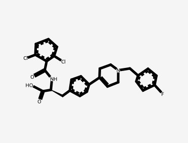 O=C(N[C@@H](Cc1ccc(C2=CCN(Cc3ccc(F)cc3)CC2)cc1)C(=O)O)c1c(Cl)cccc1Cl